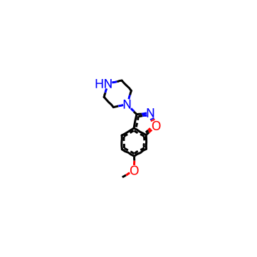 COc1ccc2c(N3CCNCC3)noc2c1